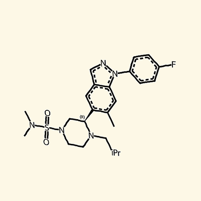 Cc1cc2c(cnn2-c2ccc(F)cc2)cc1[C@@H]1CN(S(=O)(=O)N(C)C)CCN1CC(C)C